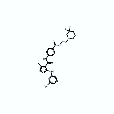 Cc1nsc(Nc2cncc(C(F)(F)F)n2)c1C(=O)Nc1ccc(C(=O)NCCN2CCCC(F)(F)C2)cc1